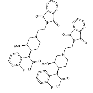 CCC(=O)N(c1ccccc1F)[C@@H]1CCN(CCN2C(=O)c3ccccc3C2=O)C[C@@H]1OC.CCC(=O)N(c1ccccc1F)[C@@H]1CCN(CCN2C(=O)c3ccccc3C2=O)C[C@@H]1OC